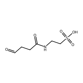 O=CCCC(=O)NCCS(=O)(=O)O